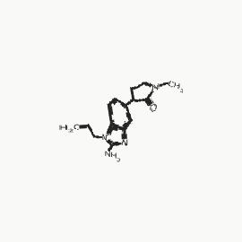 C=CCn1c(N)nc2cc(C3CCN(C)C3=O)ccc21